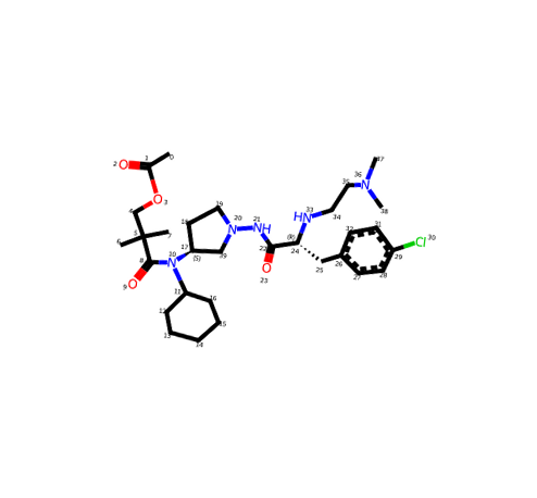 CC(=O)OCC(C)(C)C(=O)N(C1CCCCC1)[C@H]1CCN(NC(=O)[C@@H](Cc2ccc(Cl)cc2)NCCN(C)C)C1